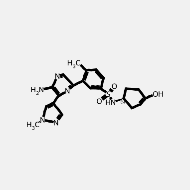 Cc1ccc(S(=O)(=O)N[C@@H]2CC=C(O)CC2)cc1-c1cnc(N)c(-c2cnn(C)c2)n1